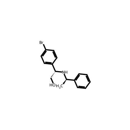 C[C@@H](N[C@H](CO)c1ccc(Br)cc1)c1ccccc1